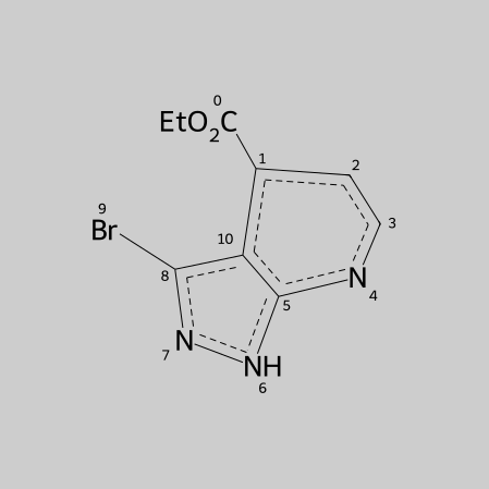 CCOC(=O)c1ccnc2[nH]nc(Br)c12